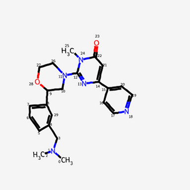 CN(C)Cc1cccc(C2CN(c3nc(-c4ccncc4)cc(=O)n3C)CCO2)c1